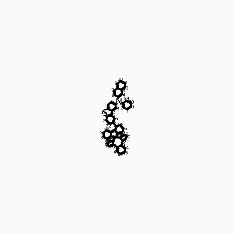 c1ccc(N(c2ccc3ccccc3c2)c2ccc3sc4ccc(-c5cccc6c5-c5ccccc5C65c6ccccc6-c6ccccc6-c6ccccc65)cc4c3c2)cc1